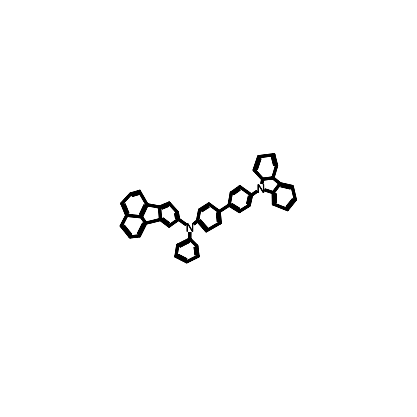 C1=CC2c3ccccc3N(c3ccc(-c4ccc(N(c5ccccc5)c5ccc6c(c5)-c5cccc7cccc-6c57)cc4)cc3)C2C=C1